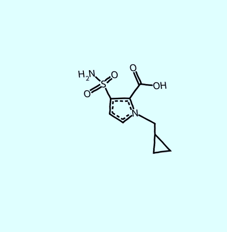 NS(=O)(=O)c1ccn(CC2CC2)c1C(=O)O